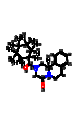 [2H]C1([2H])C([2H])([2H])C([2H])([2H])C([2H])(C(=O)N2CC(=O)N3CCc4ccccc4[C@H]3C2)C([2H])([2H])C1([2H])[2H]